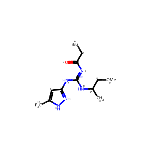 CCC(C)CC(=O)/N=C(\Nc1cc(C(F)(F)F)[nH]n1)NC(C)COC